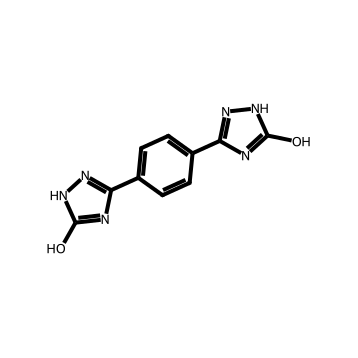 Oc1nc(-c2ccc(-c3n[nH]c(O)n3)cc2)n[nH]1